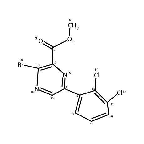 COC(=O)c1nc(-c2cccc(Cl)c2Cl)cnc1Br